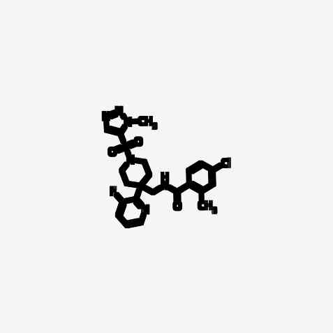 Cc1cc(Cl)ccc1C(=O)NCC1(c2ncccc2F)CCN(S(=O)(=O)c2cnnn2C)CC1